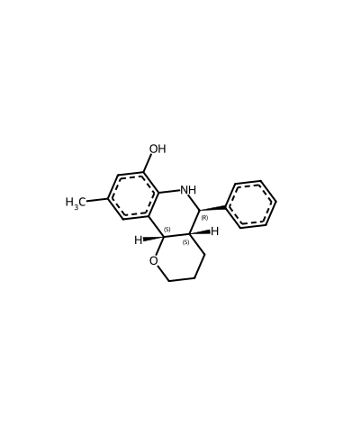 Cc1cc(O)c2c(c1)[C@H]1OCCC[C@H]1[C@H](c1ccccc1)N2